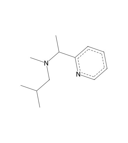 CC(C)CN(C)C(C)c1ccccn1